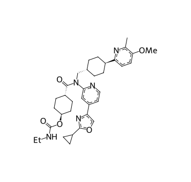 CCNC(=O)O[C@H]1CC[C@H](C(=O)N(C[C@H]2CC[C@H](c3ccc(OC)c(C)n3)CC2)c2cc(-c3coc(C4CC4)n3)ccn2)CC1